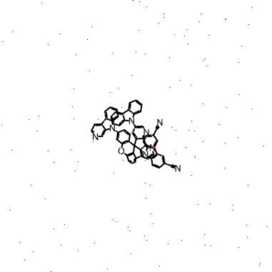 N#Cc1ccc2c(c1)c1cc(C#N)ccc1n2-c1cccc2c1C1(c3ccc(-n4c5ccccc5c5ccncc54)cc3O2)c2cccnc2-c2ncc(-n3c4ccccc4c4ccccc43)cc21